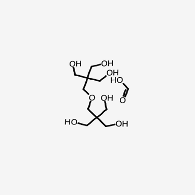 O=CO.OCC(CO)(CO)COCC(CO)(CO)CO